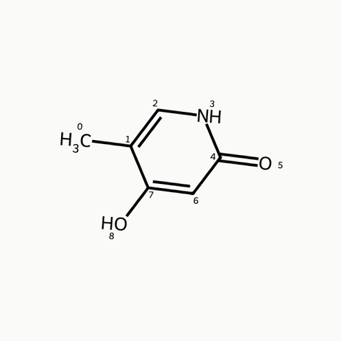 Cc1c[nH]c(=O)cc1O